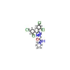 O=C(Cn1nc(-c2ccc(Cl)cc2Cl)c(-c2ccc(Cl)cc2Cl)n1)NN1CCCCC1